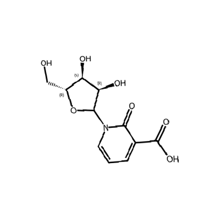 O=C(O)c1cccn(C2O[C@H](CO)[C@@H](O)[C@H]2O)c1=O